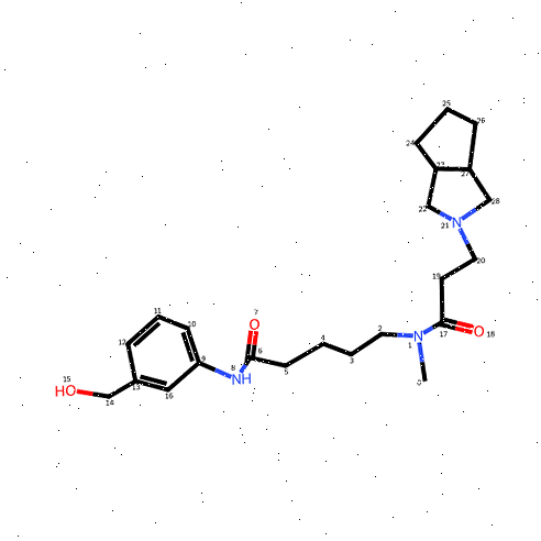 CN(CCCCC(=O)Nc1cccc(CO)c1)C(=O)CCN1CC2CCCC2C1